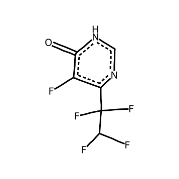 O=c1[nH]cnc(C(F)(F)C(F)F)c1F